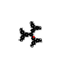 COc1ccc(N(c2ccc(OC)cc2)c2ccc(-c3cc(-c4ccc(N(c5ccc(OC)cc5)c5ccc(OC)cc5)cc4)cc(-c4ccc(N(c5ccc(OC)cc5)c5ccc(OC)cc5)cc4)c3)cc2)cc1